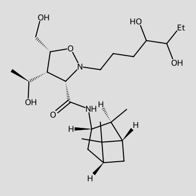 CCC(O)C(O)CCCN1O[C@@H](CO)[C@@H]([C@H](C)O)[C@H]1C(=O)N[C@H]1C[C@H]2C[C@@H]([C@@H]1C)C2(C)C